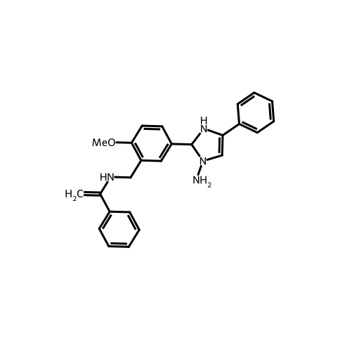 C=C(NCc1cc(C2NC(c3ccccc3)=CN2N)ccc1OC)c1ccccc1